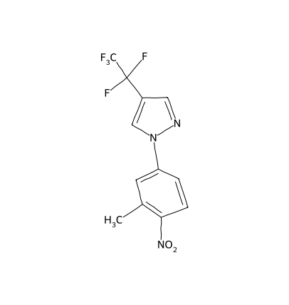 Cc1cc(-n2cc(C(F)(F)C(F)(F)F)cn2)ccc1[N+](=O)[O-]